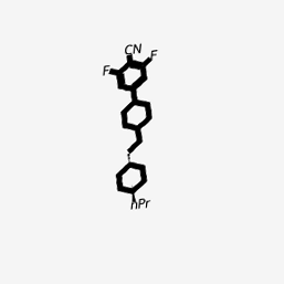 CCC[C@H]1CC[C@H](CCC2CCC(c3cc(F)c(C#N)c(F)c3)CC2)CC1